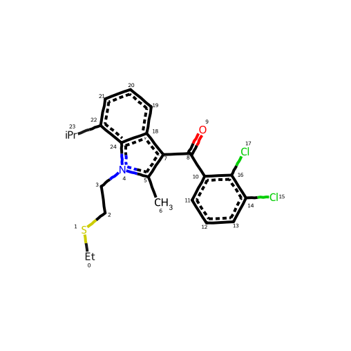 CCSCCn1c(C)c(C(=O)c2cccc(Cl)c2Cl)c2cccc(C(C)C)c21